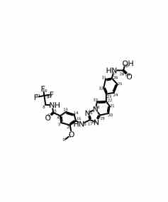 COc1cc(C(=O)NCC(F)(F)F)ccc1Nc1nc2ccc(-c3ccc(NC(=O)O)cc3)cn2n1